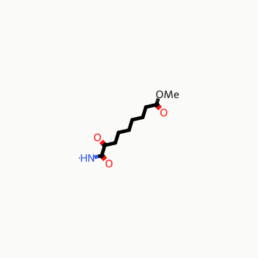 COC(=O)CCCCCCC(=O)C([NH])=O